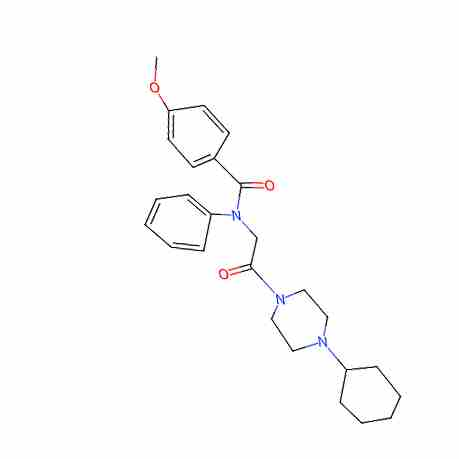 COc1ccc(C(=O)N(CC(=O)N2CCN(C3CCCCC3)CC2)c2ccccc2)cc1